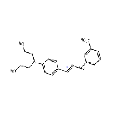 O=C(O)c1cccc(N/N=C/c2ccc(N(CCO)CCO)cc2)c1